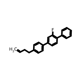 C=CCCc1ccc(-c2ccc(-c3ccccc3)c(F)c2)cc1